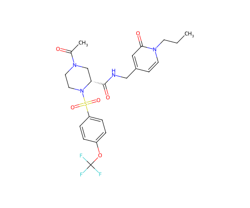 CCCn1ccc(CNC(=O)[C@H]2CN(C(C)=O)CCN2S(=O)(=O)c2ccc(OC(F)(F)F)cc2)cc1=O